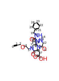 C#CCOCCN1C[C@H]2N(C(=O)CN(C)N2C(=O)NCc2ccccc2)[C@@H](CC(=O)O)C1=O